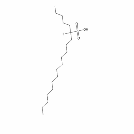 CCCCCCCCCCCCCC(F)(CCCCC)S(=O)(=O)O